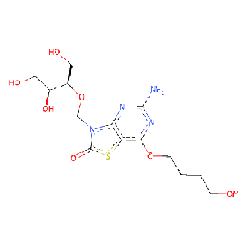 Nc1nc(OCCCCO)c2sc(=O)n(CO[C@H](CO)[C@@H](O)CO)c2n1